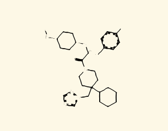 O=C(O)N[C@H]1CC[C@@H](N[C@H](Cc2ccc(Cl)cc2)C(=O)N2CCC(Cn3cncn3)(C3CCCCC3)CC2)CC1